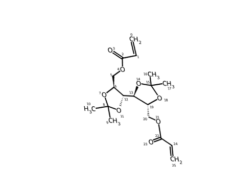 C=CC(=O)OC[C@@H]1OC(C)(C)O[C@H]1[C@H]1OC(C)(C)O[C@@H]1COC(=O)C=C